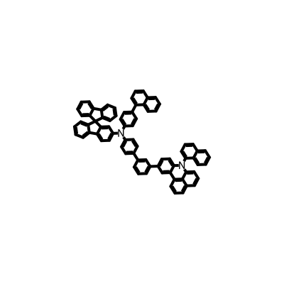 c1cc(-c2ccc(N(c3ccc(-c4cccc5ccccc45)cc3)c3ccc4c(c3)C3(c5ccccc5-c5ccccc53)c3ccccc3-4)cc2)cc(-c2ccc3c(c2)-c2cccc4cccc(c24)N3c2cccc3ccccc23)c1